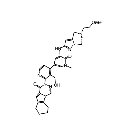 COCCN1CCn2nc(Nc3cc(-c4ccnc(-n5ncn6c7c(cc6c5=O)CCCC7)c4CO)cn(C)c3=O)cc2C1